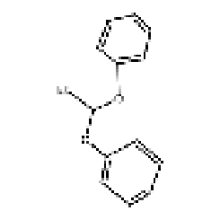 CCC(Oc1ccccc1)Oc1ccccc1